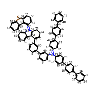 C1=C(c2cccc(-c3cccc(N(c4ccc(-c5ccc(-c6ccccc6)cc5)cc4)c4ccc(-c5ccc(-c6ccccc6)cc5)cc4)c3)c2)c2c(n(-c3cccc4sc5ccccc5c34)c3ccccc23)CC1